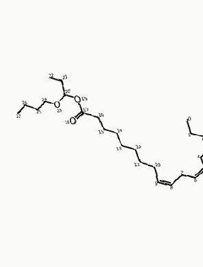 CC/C=C\C/C=C\C/C=C\CCCCCCCC(=O)OC(CC)OCCCC